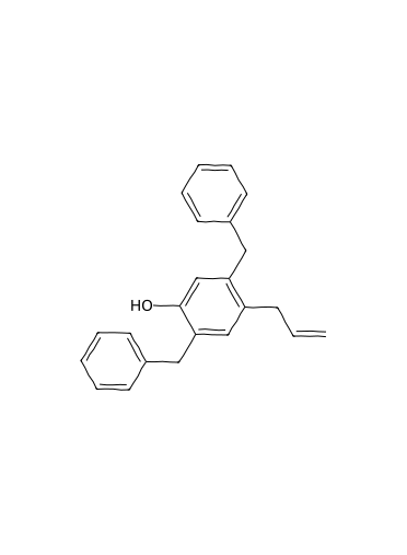 C=CCc1cc(Cc2ccccc2)c(O)cc1Cc1ccccc1